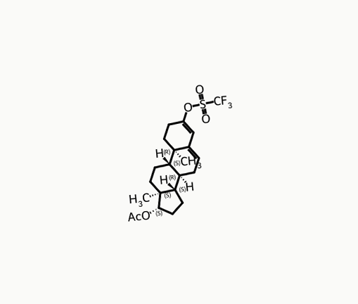 CC(=O)O[C@H]1CC[C@H]2[C@@H]3CC=C4C=C(OS(=O)(=O)C(F)(F)F)CC[C@]4(C)[C@H]3CC[C@]12C